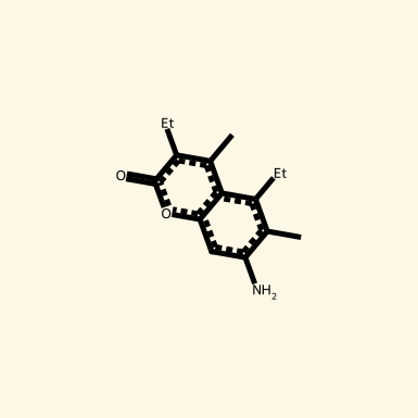 CCc1c(C)c2c(CC)c(C)c(N)cc2oc1=O